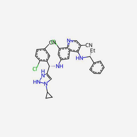 CC[C@@H](Nc1c(C#N)cnc2c(Cl)cc(N[C@H](C3=CN(C4CC4)NN3)c3cc(C#N)ccc3Cl)cc12)c1ccccc1